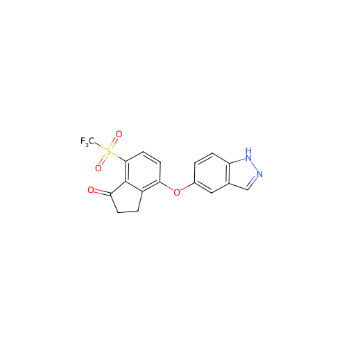 O=C1CCc2c(Oc3ccc4[nH]ncc4c3)ccc(S(=O)(=O)C(F)(F)F)c21